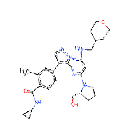 Cc1cc(-c2cnn3c(NCC4CCOCC4)cc(N4CCC[C@@H]4CO)nc23)ccc1C(=O)NC1CC1